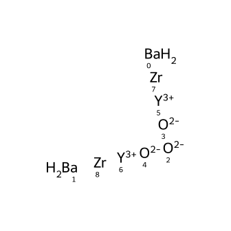 [BaH2].[BaH2].[O-2].[O-2].[O-2].[Y+3].[Y+3].[Zr].[Zr]